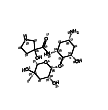 C[C@]1(O)CO[C@H](O[C@@H]2[C@@H](O)C[C@@H](N)C[C@H]2NC(=O)C2(O)CCNC2)[C@H](O)C1